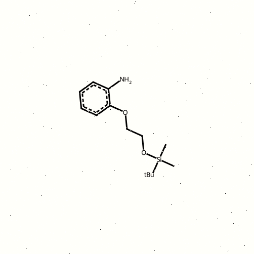 CC(C)(C)[Si](C)(C)OCCOc1ccccc1N